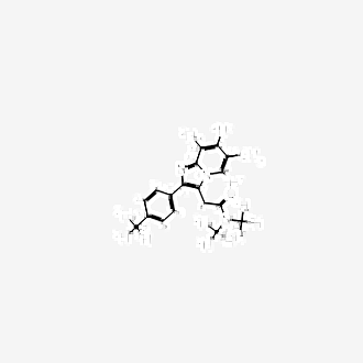 [2H]c1c(C)c([2H])n2c(CC(=O)N(C([2H])([2H])[2H])C([2H])([2H])[2H])c(-c3ccc(C([2H])([2H])[2H])cc3)nc2c1[2H]